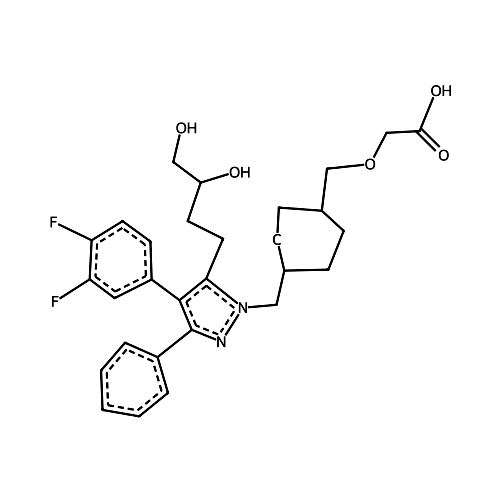 O=C(O)COCC1CCC(Cn2nc(-c3ccccc3)c(-c3ccc(F)c(F)c3)c2CCC(O)CO)CC1